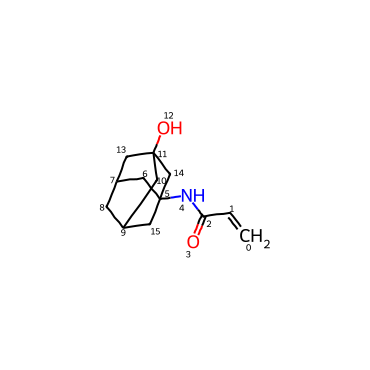 C=CC(=O)NC12CC3CC(CC(O)(C3)C1)C2